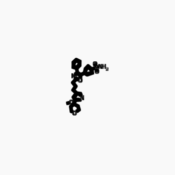 COC1(c2cncc(CCCc3nc(-c4ccccc4)c(-c4ccc(S(N)(=O)=O)cc4)o3)c2)CCOCC1